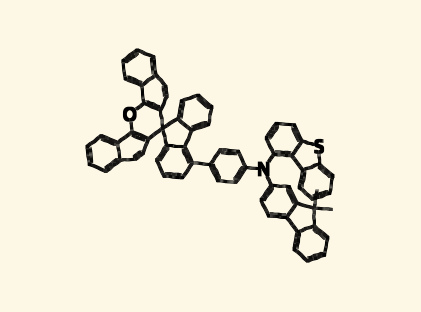 CC1(C)c2ccccc2-c2ccc(N(c3ccc(-c4cccc5c4-c4ccccc4C54c5ccc6ccccc6c5Oc5c4ccc4ccccc54)cc3)c3cccc4sc5ccccc5c34)cc21